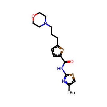 CC(C)(C)c1csc(NC(=O)c2ccc(CCCN3CCOCC3)s2)n1